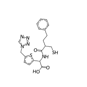 O=C(NC(C(=O)O)c1ccc(Cn2cnnn2)s1)C(CS)CCc1ccccc1